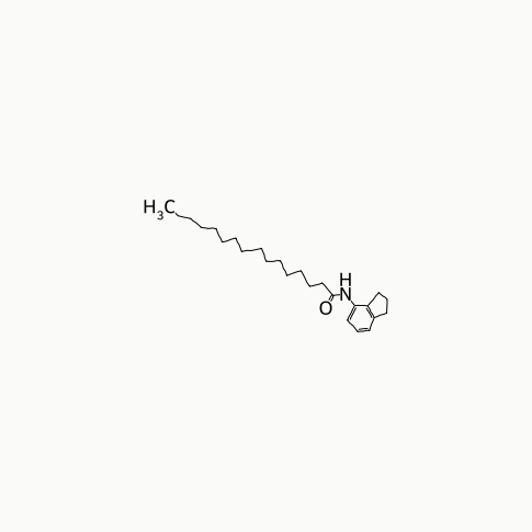 CCCCCCCCCCCCCCCC(=O)Nc1cccc2c1CCC2